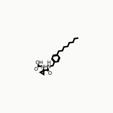 CCCCCCCCc1ccc(CNC(=O)C2(NC(=O)O)CC2)cc1